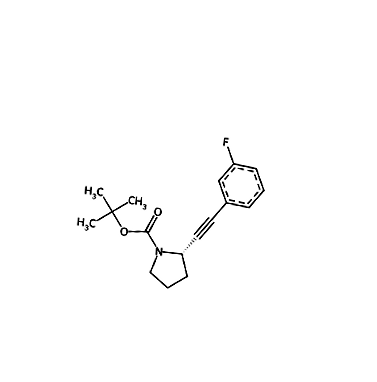 CC(C)(C)OC(=O)N1CCC[C@H]1C#Cc1cccc(F)c1